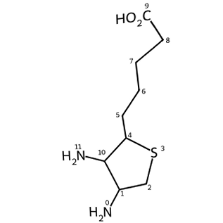 NC1CSC(CCCCC(=O)O)C1N